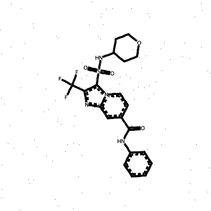 O=C(Nc1ccccc1)c1ccn2c(S(=O)(=O)NC3CCOCC3)c(C(F)(F)F)nc2c1